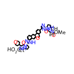 CC[C@H]1CC[C@@H](c2nc3ccc4cc5c(cc4c3[nH]2)OCc2cc(-c3cnc([C@@H]4CC[C@H](C)N4C(=O)[C@@H](NC(=O)OC)C(C)C)[nH]3)ccc2-5)N1C(=O)[C@@H](NC(=O)O)C1CCOCC1